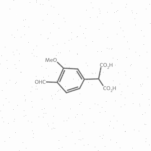 COc1cc(C(C(=O)O)C(=O)O)ccc1C=O